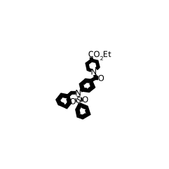 CCOC(=O)C1CCN(C(=O)c2ccc(N(Cc3ccccc3)S(=O)(=O)c3ccccc3)cc2)CC1